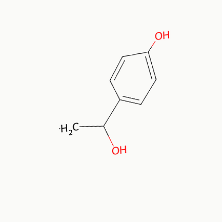 [CH2]C(O)c1ccc(O)cc1